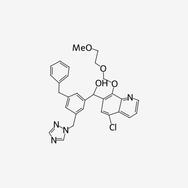 COCCOCOc1c(C(O)c2cc(Cc3ccccc3)cc(Cn3cncn3)c2)cc(Cl)c2cccnc12